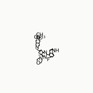 CS(=O)(=O)N1CC2CN(Cc3cc4nc(-c5c(F)ccc6[nH]ccc56)nc(N5CCOCC5)c4s3)CC2C1